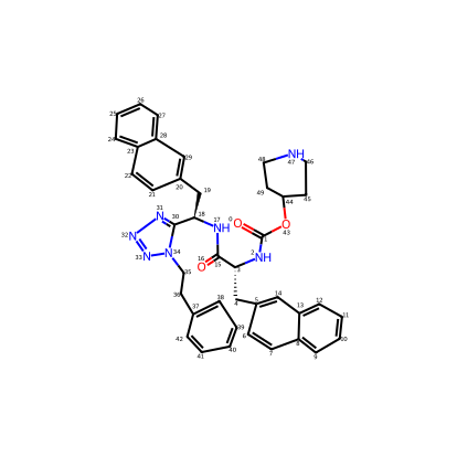 O=C(N[C@H](Cc1ccc2ccccc2c1)C(=O)N[C@H](Cc1ccc2ccccc2c1)c1nnnn1CCc1ccccc1)OC1CCNCC1